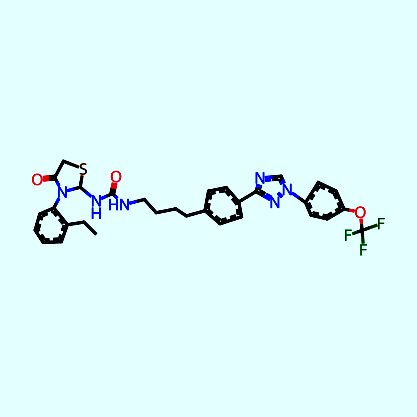 CCc1ccccc1N1C(=O)CSC1NC(=O)NCCCCc1ccc(-c2ncn(-c3ccc(OC(F)(F)F)cc3)n2)cc1